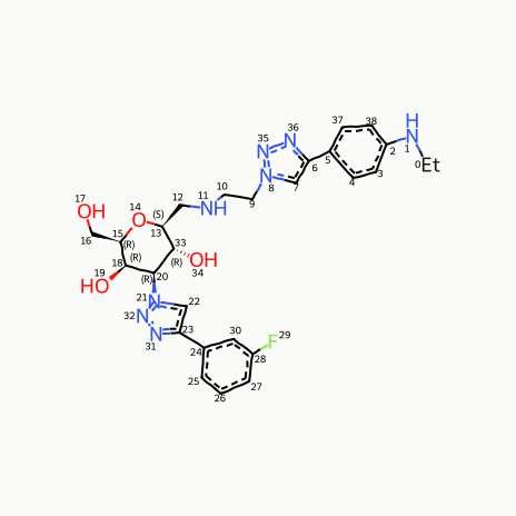 CCNc1ccc(-c2cn(CCNC[C@@H]3O[C@H](CO)[C@H](O)[C@H](n4cc(-c5cccc(F)c5)nn4)[C@H]3O)nn2)cc1